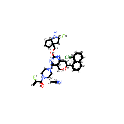 C=C(F)C(=O)N1CCN(c2nc(OCC34CCCC3N[C@H](F)C4)nc3c2COC(c2cccc4cccc(Cl)c24)C3)C[C@@H]1CC#N